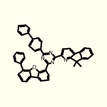 CC1(C)c2ccccc2-c2ccc(-c3nc(-c4ccc(-c5ccccc5)cc4)nc(-c4cccc5c4oc4c(-c6ccccc6)cccc45)n3)nc21